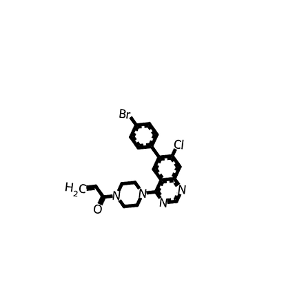 C=CC(=O)N1CCN(c2ncnc3cc(Cl)c(-c4ccc(Br)cc4)cc23)CC1